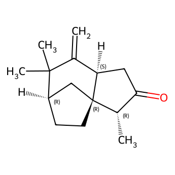 C=C1[C@H]2CC(=O)[C@H](C)[C@@]23CC[C@H](C3)C1(C)C